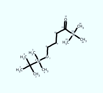 CC(C)(C)[Si](C)(C)OCCCC(=O)[Si](C)(C)C